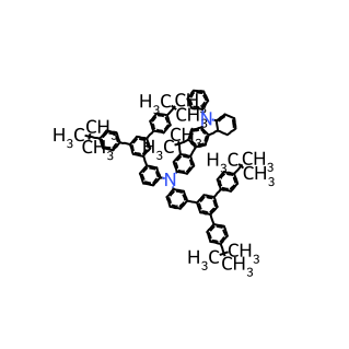 CC(C)(C)c1ccc(-c2cc(-c3ccc(C(C)(C)C)cc3)cc(-c3cccc(N(c4cccc(-c5cc(-c6ccc(C(C)(C)C)cc6)cc(-c6ccc(C(C)(C)C)cc6)c5)c4)c4ccc5c(c4)C(C)(C)c4cc6c(cc4-5)C4CC=CC=C4N6c4ccccc4)c3)c2)cc1